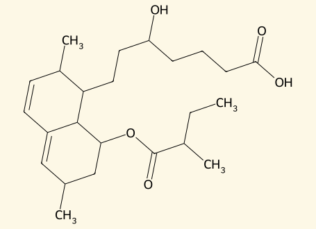 CCC(C)C(=O)OC1CC(C)C=C2C=CC(C)C(CCC(O)CCCC(=O)O)C21